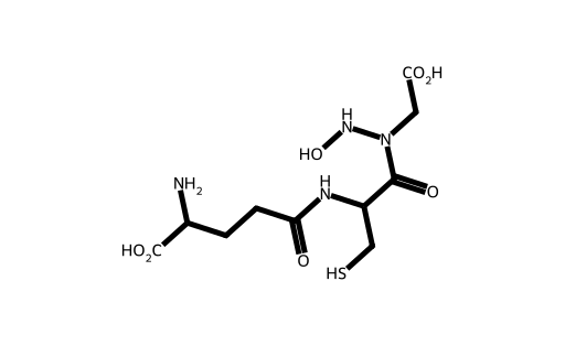 NC(CCC(=O)NC(CS)C(=O)N(CC(=O)O)NO)C(=O)O